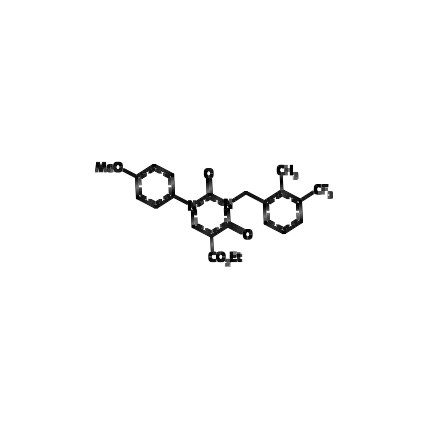 CCOC(=O)c1cn(-c2ccc(OC)cc2)c(=O)n(Cc2cccc(C(F)(F)F)c2C)c1=O